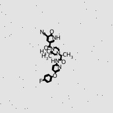 C[C@H](C(=O)Nc1ccc(Oc2ccc(F)cc2)cn1)N1CCN(C(=O)c2c[nH]c(=O)c(C#N)c2)C(C)(C)C1